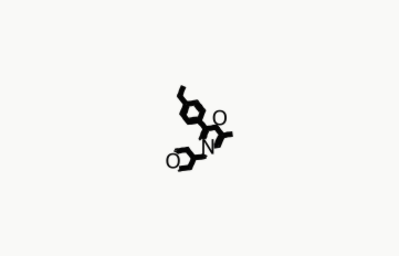 CCc1ccc(-c2cn(CC3CCOCC3)cc(C)c2=O)cc1